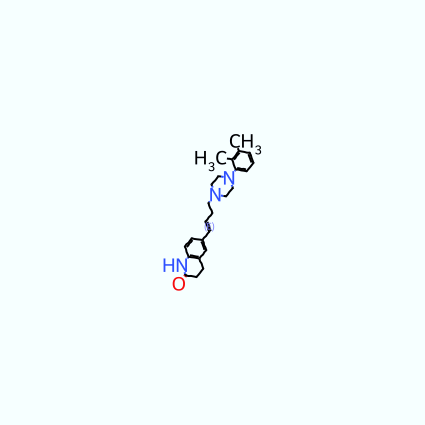 Cc1cccc(N2CCN(CC/C=C/c3ccc4c(c3)CCC(=O)N4)CC2)c1C